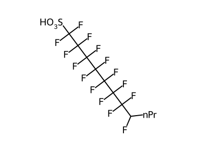 CCCC(F)C(F)(F)C(F)(F)C(F)(F)C(F)(F)C(F)(F)C(F)(F)C(F)(F)S(=O)(=O)O